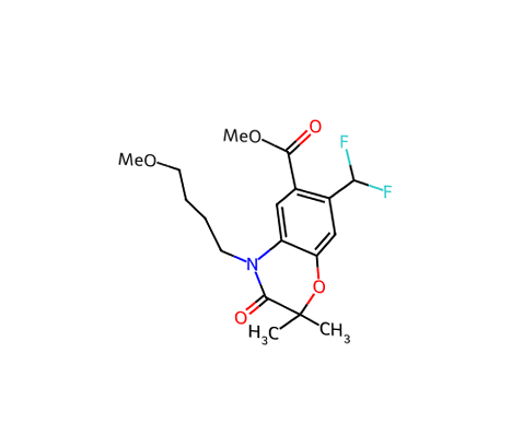 COCCCCN1C(=O)C(C)(C)Oc2cc(C(F)F)c(C(=O)OC)cc21